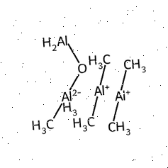 [CH3][Al+][CH3].[CH3][Al+][CH3].[CH3][AlH3-2][O][AlH2]